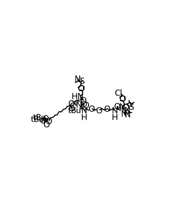 Cc1ncsc1-c1ccc(CNC(=O)[C@@H]2C[C@@H](OC(=O)CCCCCCCCCOP(=O)(OC(C)(C)C)OC(C)(C)C)CN2C(=O)[C@@H](NC(=O)COCCOCCOCCNC(=O)C[C@@H]2N=C(c3ccc(Cl)cc3)c3c(sc(C)c3C)-n3c(C)nnc32)C(C)(C)C)cc1